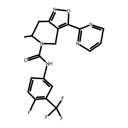 CC1Cc2noc(-c3ncccn3)c2CN1C(=O)Nc1ccc(F)c(C(F)(F)F)c1